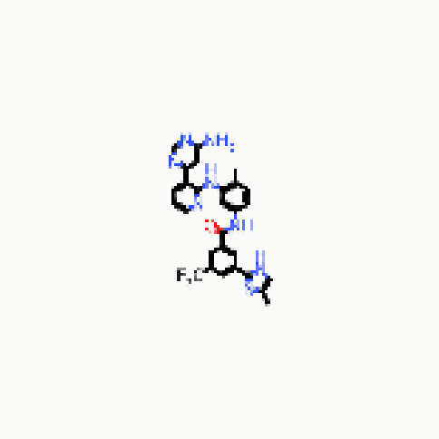 Cc1c[nH]c(-c2cc(C(=O)Nc3ccc(C)c(Nc4ncccc4-c4cc(N)ncn4)c3)cc(C(F)(F)F)c2)n1